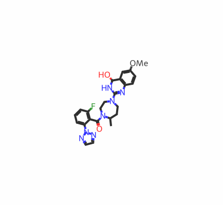 COc1ccc2c(c1)C(O)NC(N1CCC(C)N(C(=O)c3c(F)cccc3-n3nccn3)CC1)=N2